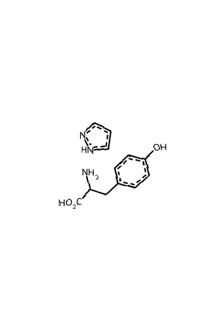 NC(Cc1ccc(O)cc1)C(=O)O.c1cn[nH]c1